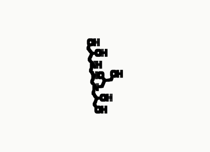 OCC(O)CNCCCN(CC(O)CO)CC(O)CO